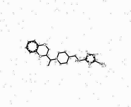 CC(C1COc2ccccc2O1)N1CCC(CNc2nnc(N)o2)CC1